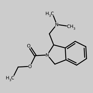 CCOC(=O)N1Cc2ccccc2C1CN(C)C